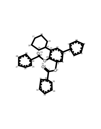 O=C(Oc1cc(-c2ccccc2)cc(C2CCCCC2)c1OC(=O)c1ccccc1)c1ccccc1